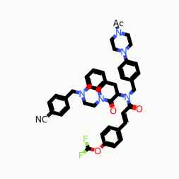 CC(=O)N1CCN(c2ccc(CN(C(=O)C=Cc3ccc(OC(F)F)cc3)C(Cc3ccccc3)C(=O)N3CCN(Cc4ccc(C#N)cc4)CC3)cc2)CC1